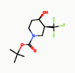 CC(C)(C)OC(=O)N1CC[C@@H](O)[C@@H](C(F)(F)F)C1